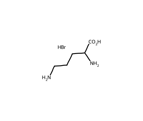 Br.NCCCC(N)C(=O)O